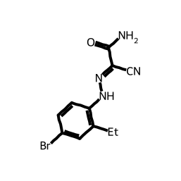 CCc1cc(Br)ccc1N/N=C(\C#N)C(N)=O